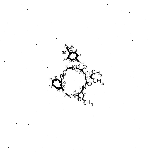 CCC[C@@H]1NC(=O)[C@@H](C(C)C)NC(=O)[C@@H](Cc2ccc(C(F)(F)F)cc2)NCCOc2ccccc2CCCNC1=O